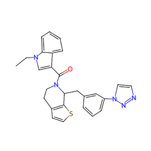 CCn1cc(C(=O)N2CCc3ccsc3C2Cc2cccc(-n3ccnn3)c2)c2ccccc21